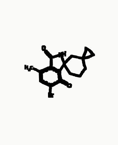 Cc1cc(Br)c(=O)n2c1C(=O)NC21CCCC2(CC2)C1